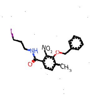 Cc1ccc(C(=O)NCCCI)c([N+](=O)[O-])c1OCc1ccccc1